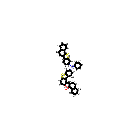 c1ccc(N(c2ccc3c(c2)sc2c4ccccc4ccc32)c2ccc3c(c2)sc2ccc4oc5c6ccccc6ccc5c4c23)cc1